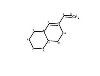 C=CC1=CC2CCCCC2CC1